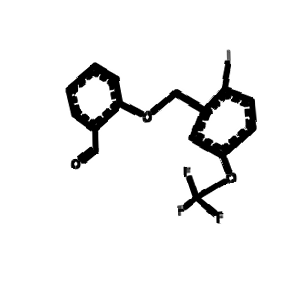 O=Cc1ccccc1OCc1cc(OC(F)(F)F)ccc1I